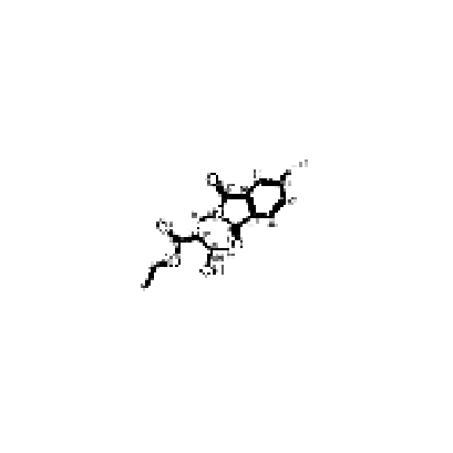 CCOC(=O)[C@H](CN1C(=O)c2ccc(F)cc2C1=O)[C@@H](C)O